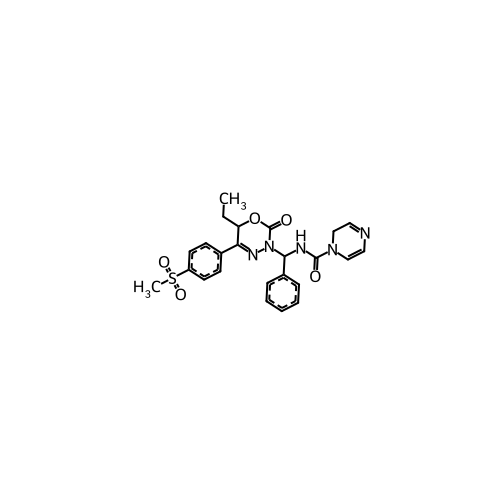 CCC1OC(=O)N(C(NC(=O)N2C=CN=CC2)c2ccccc2)N=C1c1ccc(S(C)(=O)=O)cc1